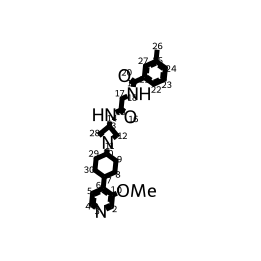 COc1cnccc1C1CCC(N2CC(NC(=O)CNC(=O)c3cccc(C)c3)C2)CC1